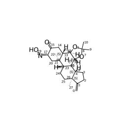 C=C1CC[C@H]2[C@@H]3[C@H]4OC(C)(C)O[C@@H]4[C@H]4CC(=O)C(=NO)C[C@]4(C)[C@H]3CC[C@]12C